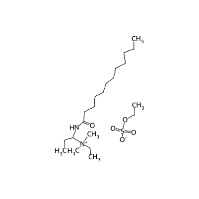 CCCCCCCCCCCC(=O)NC(CC)[N+](C)(C)CC.CCOS(=O)(=O)[O-]